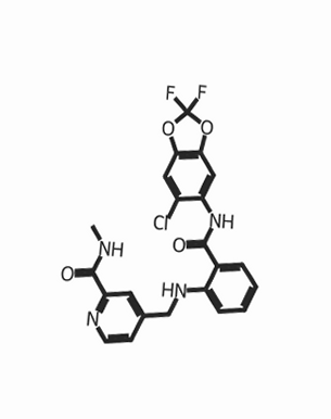 CNC(=O)c1cc(CNc2ccccc2C(=O)Nc2cc3c(cc2Cl)OC(F)(F)O3)ccn1